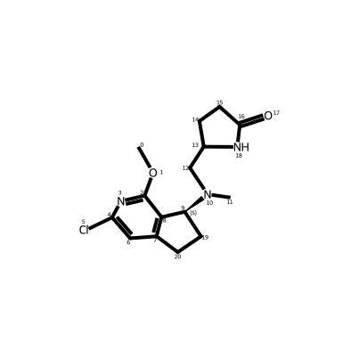 COc1nc(Cl)cc2c1[C@@H](N(C)CC1CCC(=O)N1)CC2